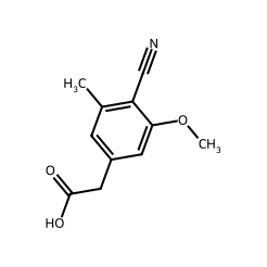 COc1cc(CC(=O)O)cc(C)c1C#N